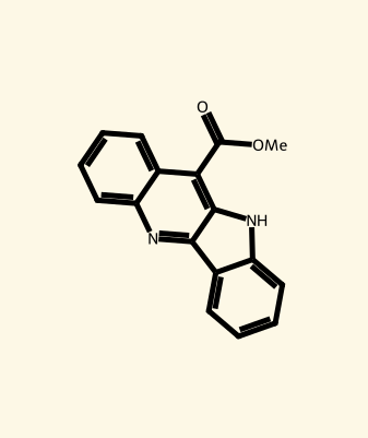 COC(=O)c1c2ccccc2nc2c1[nH]c1ccccc12